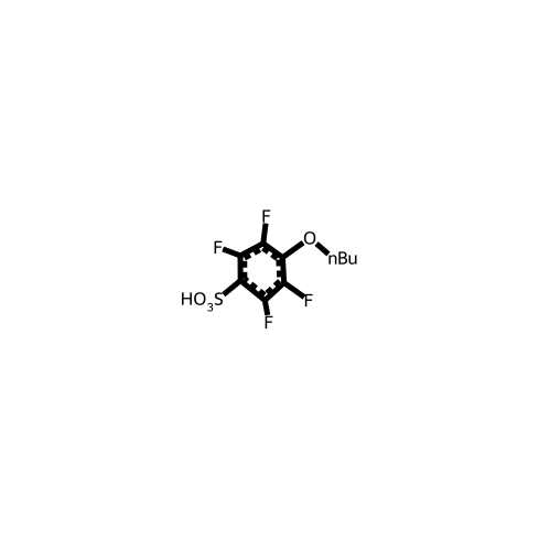 CCCCOc1c(F)c(F)c(S(=O)(=O)O)c(F)c1F